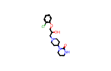 O=C1NCCCN1C1CCN(CC(O)COc2ccccc2Cl)CC1